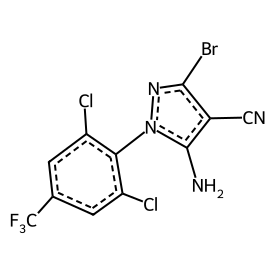 N#Cc1c(Br)nn(-c2c(Cl)cc(C(F)(F)F)cc2Cl)c1N